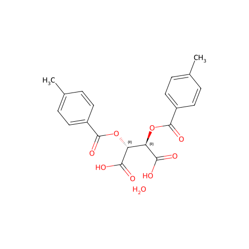 Cc1ccc(C(=O)O[C@@H](C(=O)O)[C@@H](OC(=O)c2ccc(C)cc2)C(=O)O)cc1.O